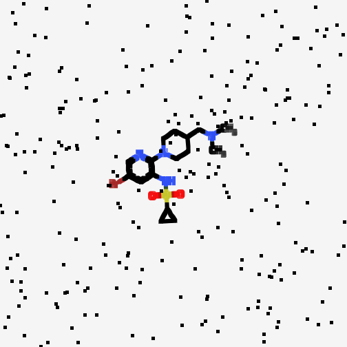 CN(C)CC1CCN(c2ncc(Br)cc2NS(=O)(=O)C2CC2)CC1